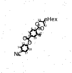 CCCCCCC1COC(c2ccc(C(=O)Oc3ccc(C#N)cc3)cc2F)OC1